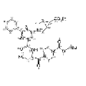 CCCCOC(=O)N1CCN(C(=O)[C@H](CC#N)NC(=O)c2cc(N3CC4C(C3)C4C(=O)OCC)nc(-c3ccccc3)n2)CC1